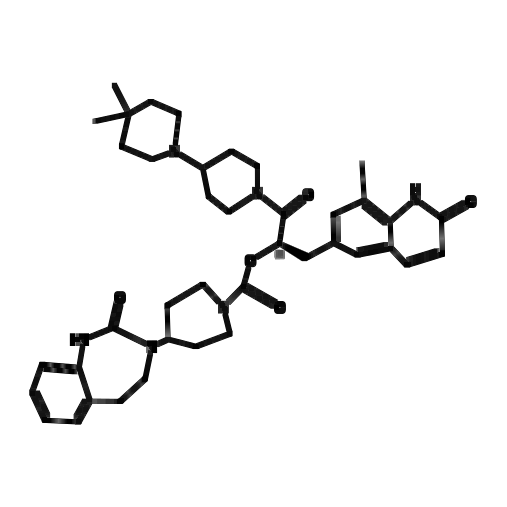 Cc1cc(C[C@@H](OC(=O)N2CCC(N3CCc4ccccc4NC3=O)CC2)C(=O)N2CCC(N3CCC(C)(C)CC3)CC2)cc2ccc(=O)[nH]c12